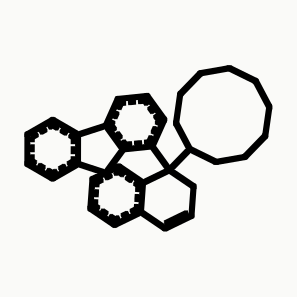 C1=Cc2ccccc2C(c2cccc3c2Cc2ccccc2-3)(C2CCCCCCCCC2)C1